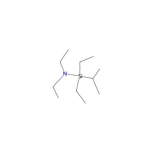 CCN(CC)[Si](CC)(CC)C(C)C